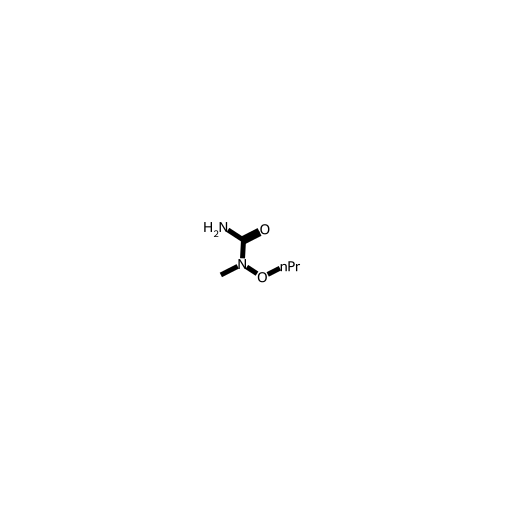 CCCON(C)C(N)=O